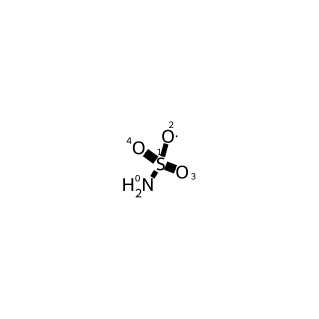 NS([O])(=O)=O